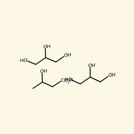 CC(O)CC(=O)O.OCC(O)CO.OCC(O)CO